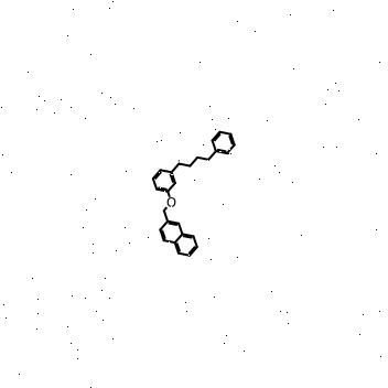 [CH](CCCc1ccccc1)c1cccc(OCc2ccc3ccccc3c2)c1